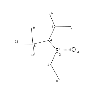 CC[S@@+]([O-])C(C(C)C)C(C)(C)C